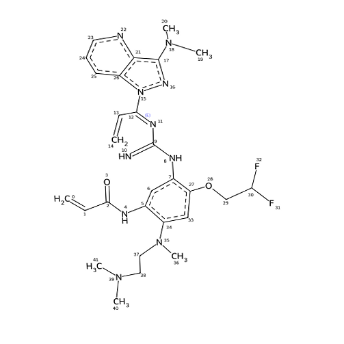 C=CC(=O)Nc1cc(NC(=N)/N=C(\C=C)n2nc(N(C)C)c3ncccc32)c(OCC(F)F)cc1N(C)CCN(C)C